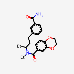 CCC(CCc1cccc(C(N)=O)c1)N(CC)C(=O)c1ccc2c(c1)OCCO2